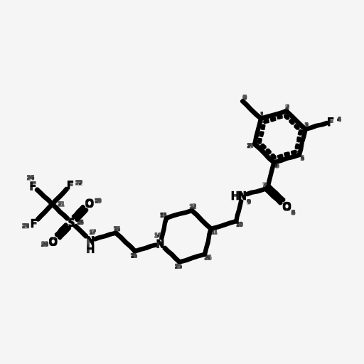 Cc1cc(F)cc(C(=O)NCC2CCN(CCNS(=O)(=O)C(F)(F)F)CC2)c1